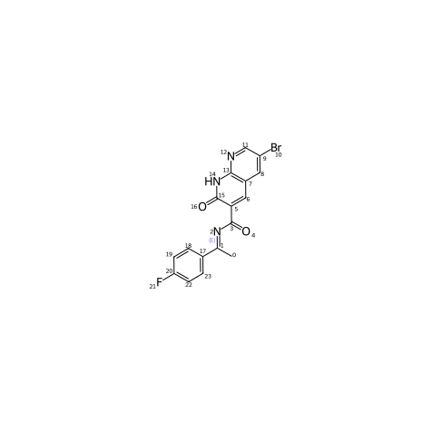 C/C(=N\C(=O)c1cc2cc(Br)cnc2[nH]c1=O)c1ccc(F)cc1